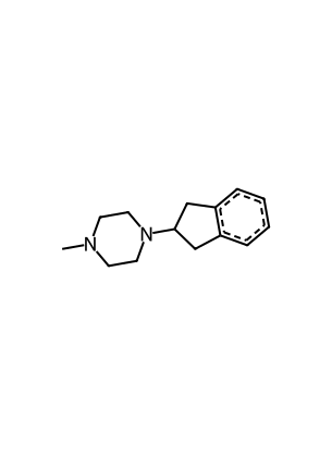 CN1CCN(C2Cc3ccccc3C2)CC1